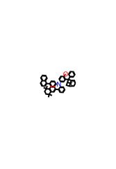 CC1(C)CCC(C)(C)c2cc(-c3ccccc3N(c3ccc(-c4cccc5ccccc45)cc3)c3ccc4c(c3)C3(c5ccccc5O4)C4CC5CC6CC3C64C5)ccc21